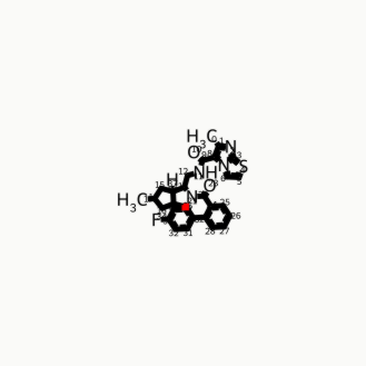 Cc1nc2sccn2c1C(=O)NCC1[C@H]2CC(C)CC2CN1C(=O)c1ccccc1-c1ccc(F)cc1